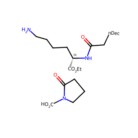 CCCCCCCCCCCC(=O)N[C@@H](CCCCN)C(=O)OCC.O=C(O)N1CCCC1=O